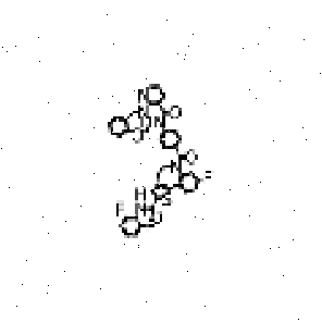 O=C(Nc1c(F)cccc1F)c1cc2c(s1)-c1ccc(F)cc1N(C(=O)c1ccc(NC(=O)c3cccnc3N3CCOc4ccccc4C3)cc1)CC2